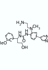 COc1cccc(C(CCO)NC(=O)Nc2ccc(-c3cn[nH]c3)cc2N(C)CCN)c1